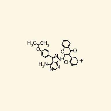 CC(C)Oc1ccc(-c2nn(C(C)c3oc4ccccc4c(=O)c3C3=CC=C[C@H](F)C3)c3ncnc(N)c23)cc1